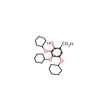 O=C(O)c1cc(OC2CCCCC2)c(OC2CCCCC2)c(OC2CCCCC2)c1O